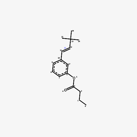 CCCC(=O)Oc1cccc(/C=C/C(C)(C)C)c1